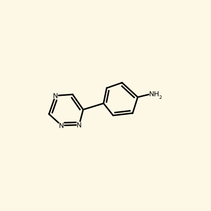 Nc1ccc(-c2cncnn2)cc1